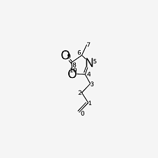 C=CCCC1=NC(C)C(=O)O1